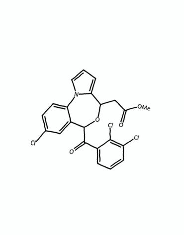 COC(=O)CC1OC(C(=O)c2cccc(Cl)c2Cl)c2cc(Cl)ccc2-n2cccc21